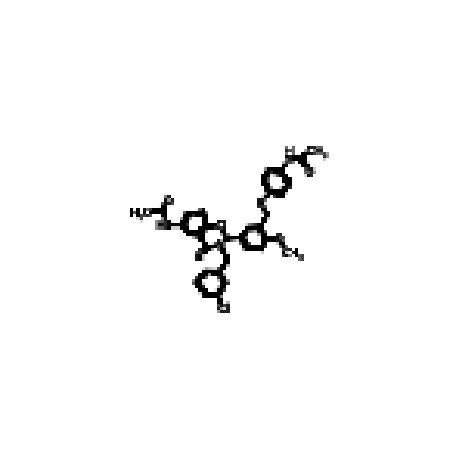 COc1ccc(C2Oc3ccc(NC(C)=O)cc3C(=O)N2Cc2cccc(Cl)c2)cc1COc1ccc(NC(C)=O)cc1